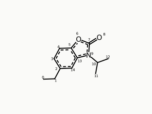 CCc1ccc2oc(=O)n(C(C)C)c2c1